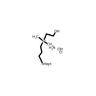 CCCCCCCCCC[N+](C)(C)CCO.Cl.N.[Cl-]